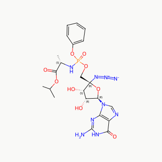 CC(C)OC(=O)[C@H](C)NP(=O)(OC[C@@]1(N=[N+]=[N-])O[C@@H](n2cnc3c(=O)[nH]c(N)nc32)[C@H](O)[C@@H]1O)Oc1ccccc1